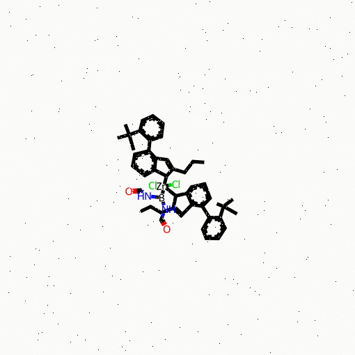 CCCC1=Cc2c(-c3ccccc3C(C)(C)C)cccc2[CH]1[Zr]([Cl])([Cl])([B](NC=O)NC=O)[CH]1C(CCC)=Cc2c(-c3ccccc3C(C)(C)C)cccc21